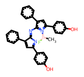 CB(F)n1c(-c2ccc(O)cc2)cc(-c2ccccc2)c1/N=C1\N=C(c2ccc(O)cc2)C=C1c1ccccc1